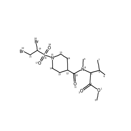 COC(=O)C(C(C)C)N(C)C(=O)C1CCN(S(=O)(=O)C(Br)CBr)CC1